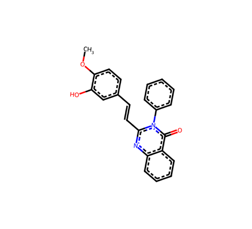 COc1ccc(C=Cc2nc3ccccc3c(=O)n2-c2ccccc2)cc1O